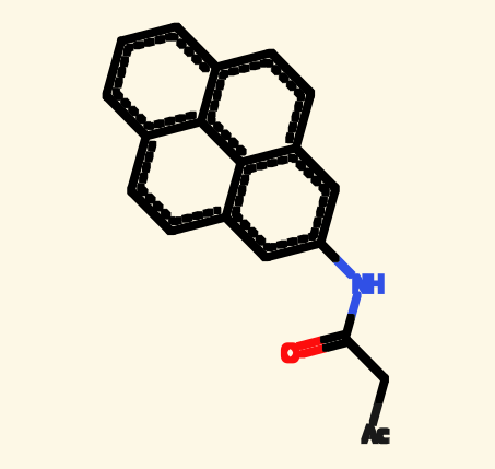 CC(=O)CC(=O)Nc1cc2ccc3cccc4ccc(c1)c2c34